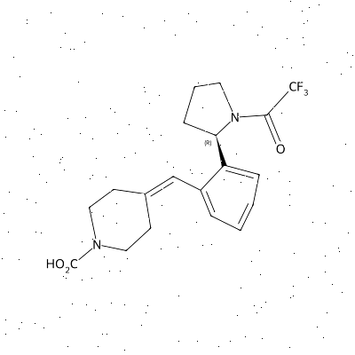 O=C(O)N1CCC(=Cc2ccccc2[C@H]2CCCN2C(=O)C(F)(F)F)CC1